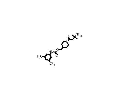 CC(C)(N)CC(=O)N1CCC(COC(=O)Nc2cc(C(F)(F)F)cc(C(F)(F)F)c2)CC1